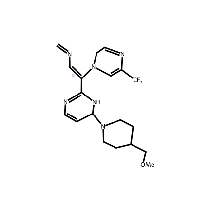 C=N/C=C(/C1=NC=CC(N2CCC(COC)CC2)N1)N1C=C(C(F)(F)F)N=CC1